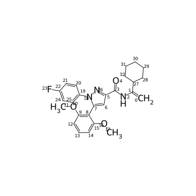 C=C(NC(=O)c1cc(-c2c(OC)cccc2OC)n(-c2ccc(F)cc2)n1)C1CCCCC1